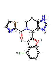 O=C(c1nccs1)N1CCc2[nH]cnc2[C@@H]1c1cc2c(F)cccc2o1